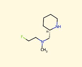 CN(CCF)C[C@@H]1CCCCN1